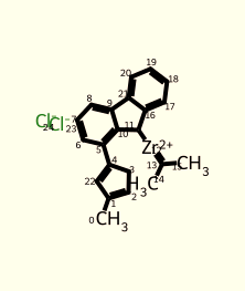 CC1=CCC(c2cccc3c2[CH]([Zr+2]=[C](C)C)c2ccccc2-3)=C1.[Cl-].[Cl-]